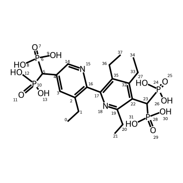 CCc1cc(C(P(=O)(O)O)P(=O)(O)O)cnc1-c1nc(CC)c(C(P(=O)(O)O)P(=O)(O)O)c(CC)c1CC